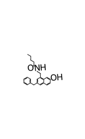 CCCCC(=O)NCCc1cc(Cc2ccccc2)cc2ccc(O)cc12